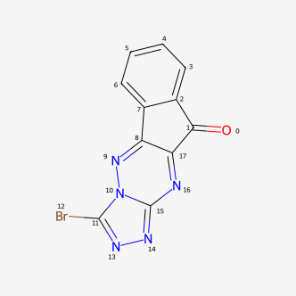 O=C1c2ccccc2-c2nn3c(Br)nnc3nc21